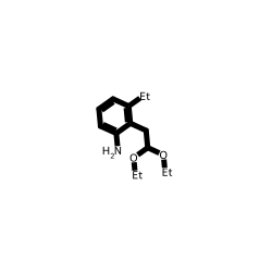 CCOC(Cc1c(N)cccc1CC)OCC